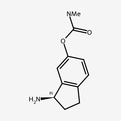 CNC(=O)Oc1ccc2c(c1)[C@H](N)CC2